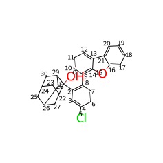 OC1(c2cc(Cl)ccc2-c2cccc3c2oc2ccccc23)C2CC3CC(C2)CC1C3